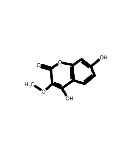 COc1c(O)c2ccc(O)cc2oc1=O